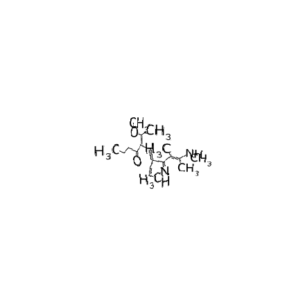 C\C=C/C(=C\C(C(=O)CCC)=C(/C)OC)C(=N)/C(C)=C(\C)NC